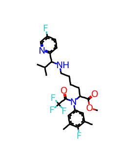 COC(=O)C(CCCCNC(c1ccc(F)cn1)C(C)C)N(C(=O)C(F)(F)F)c1cc(C)c(F)c(C)c1